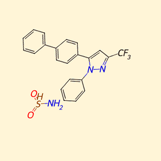 FC(F)(F)c1cc(-c2ccc(-c3ccccc3)cc2)n(-c2ccccc2)n1.N[SH](=O)=O